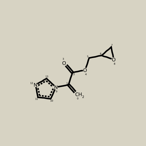 C=C(C(=O)OCC1CO1)n1ccnc1